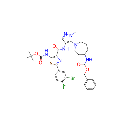 Cn1ncc(NC(=O)c2nc(-c3ccc(F)c(Br)c3)sc2NC(=O)OC(C)(C)C)c1N1CCC[C@@H](NC(=O)OCc2ccccc2)CC1